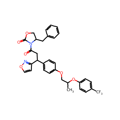 CC(COc1ccc(C(CC(=O)N2C(=O)OCC2Cc2ccccc2)c2ccon2)cc1)Oc1ccc(C(F)(F)F)cc1